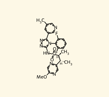 COc1cnc([C@@H](C)[C@H](C)S(=O)(=O)Nc2nnc(-c3cncc(C)c3)n2-c2c(F)cccc2F)cn1